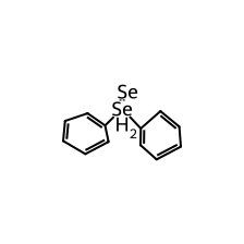 [Se]=[SeH2](c1ccccc1)c1ccccc1